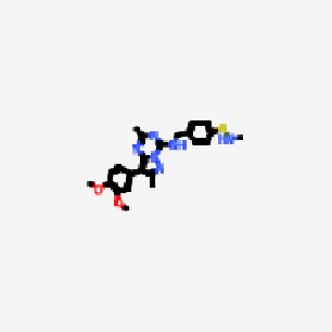 CNSc1ccc(CNc2nc(C)nc3c(-c4ccc(OC)c(OC)c4)c(C)nn23)cc1